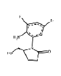 Nc1c(F)cc(Br)cc1N1C(=O)CC[C@H]1CO